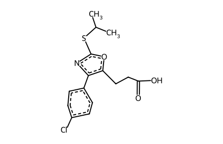 CC(C)Sc1nc(-c2ccc(Cl)cc2)c(CCC(=O)O)o1